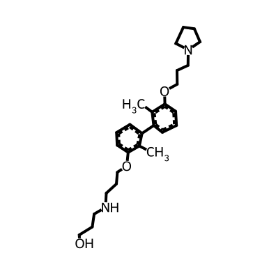 Cc1c(OCCCNCCCO)cccc1-c1cccc(OCCCN2CCCC2)c1C